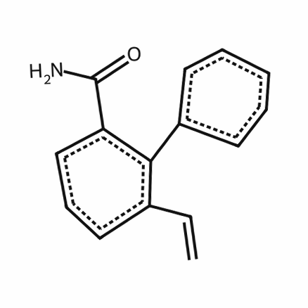 C=Cc1cccc(C(N)=O)c1-c1ccccc1